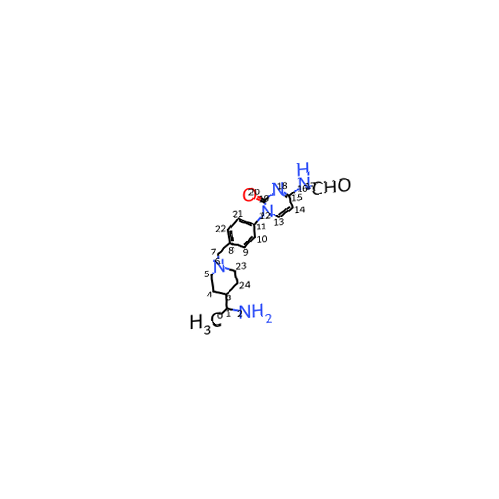 CC(N)C1CCN(Cc2ccc(-n3ccc(NC=O)nc3=O)cc2)CC1